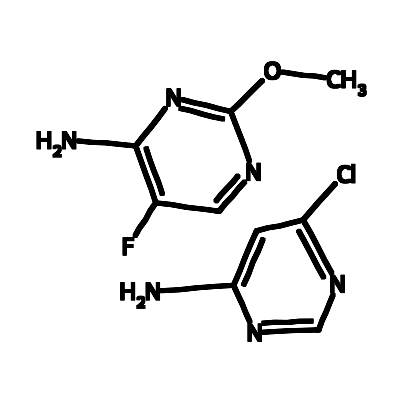 COc1ncc(F)c(N)n1.Nc1cc(Cl)ncn1